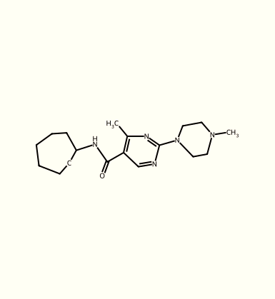 Cc1nc(N2CCN(C)CC2)ncc1C(=O)NC1CCCCCC1